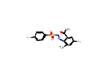 COC(=O)c1cc(C)cc(C)c1NCS(=O)(=O)c1ccc(OC)cc1